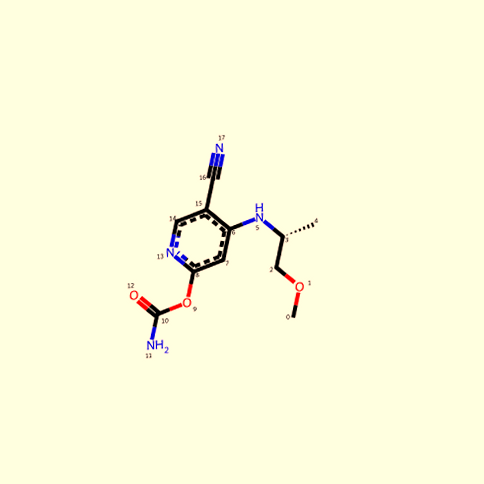 COC[C@@H](C)Nc1cc(OC(N)=O)ncc1C#N